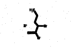 CCCC(Br)C(=O)[O-].[K+]